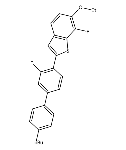 CCCCc1ccc(-c2ccc(-c3cc4ccc(OCC)c(F)c4s3)c(F)c2)cc1